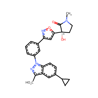 CN1CC[C@@](O)(c2cc(-c3cccc(-n4nc(C(=O)O)c5cc(C6CC6)ccc54)c3)no2)C1=O